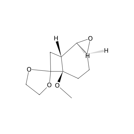 CO[C@]12CC[C@@H]3O[C@@H]3[C@H]1CC21OCCO1